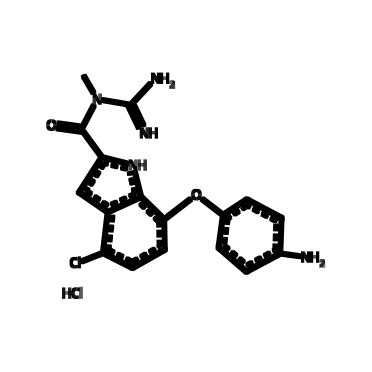 CN(C(=N)N)C(=O)c1cc2c(Cl)ccc(Oc3ccc(N)cc3)c2[nH]1.Cl